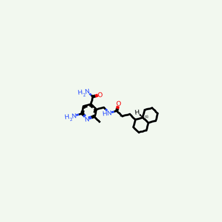 Cc1nc(N)cc(C(N)=O)c1CNC(=O)[CH]CC1CCCC2CCCC[C@@H]12